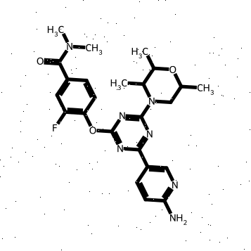 CC1CN(c2nc(Oc3ccc(C(=O)N(C)C)cc3F)nc(-c3ccc(N)nc3)n2)C(C)C(C)O1